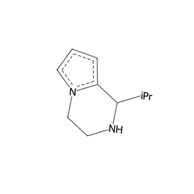 CC(C)C1NCCn2cccc21